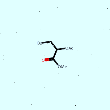 CCC(C)CC(OC(C)=O)C(=O)OC